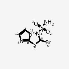 NS(=O)(=O)N1C(Br)SC2=NC=C[N+]21